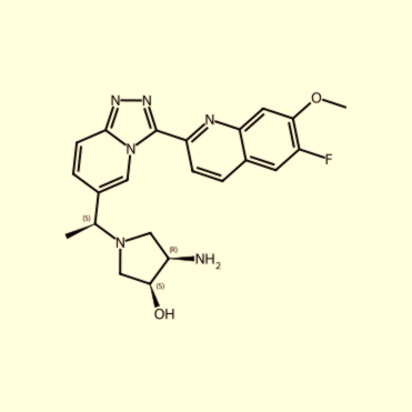 COc1cc2nc(-c3nnc4ccc([C@H](C)N5C[C@@H](N)[C@@H](O)C5)cn34)ccc2cc1F